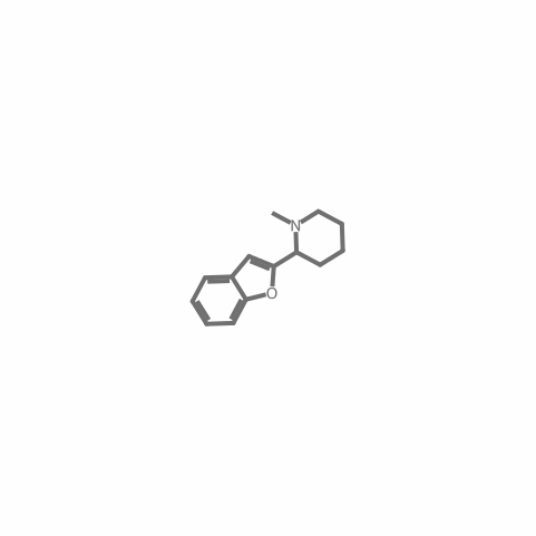 CN1CCCCC1c1cc2ccccc2o1